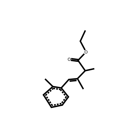 CCOC(=O)C(C)/C(C)=C/c1ccccc1C